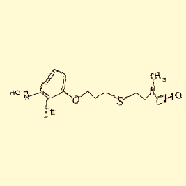 CCc1c(NO)cccc1OCCCSCCN(C)C=O